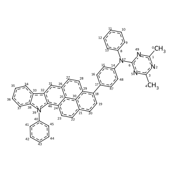 Cc1nc(C)nc(N(c2ccccc2)c2ccc(-c3ccc4ccc5c6c(ccc3c46)cc3c4ccccc4n(-c4ccccc4)c35)cc2)n1